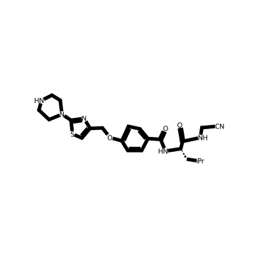 CC(C)C[C@H](NC(=O)c1ccc(OCc2csc(N3CCNCC3)n2)cc1)C(=O)NCC#N